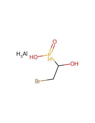 O=[PH](O)C(O)CBr.[AlH3]